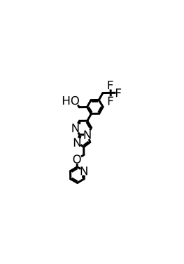 OCc1cc(CC(F)(F)F)ccc1-c1cnc2nc(COc3ccccn3)cn2c1